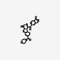 O=C(c1ccc2c(c1)SC1NCN=C(Nc3cc4cn[nH]c4cn3)C21)N1CCOCC1